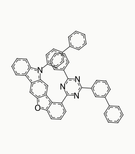 c1ccc(-c2ccc(-n3c4ccccc4c4cc5oc6cccc(-c7nc(-c8ccccc8)nc(-c8cccc(-c9ccccc9)c8)n7)c6c5cc43)cc2)cc1